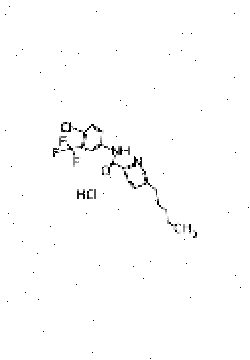 CCCCCc1ccc(C(=O)Nc2ccc(Cl)c(C(F)(F)F)c2)nc1.Cl